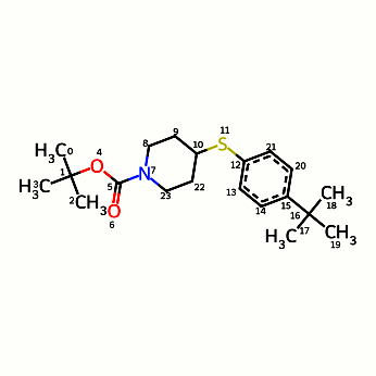 CC(C)(C)OC(=O)N1CCC(Sc2ccc(C(C)(C)C)cc2)CC1